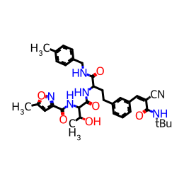 Cc1ccc(CNC(=O)C(CCc2cccc(C=C(C#N)C(=O)NC(C)(C)C)c2)NC(=O)C(NC(=O)c2cc(C)on2)C(C)O)cc1